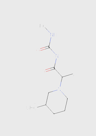 CCNC(=O)NC(=O)C(C)N1CCCC(C=O)C1